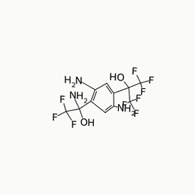 Nc1cc(C(O)(C(F)(F)F)C(F)(F)F)c(N)cc1C(N)(O)C(F)(F)F